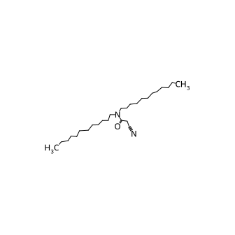 CCCCCCCCCCCCN(CCCCCCCCCCCC)C(=O)CC#N